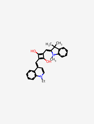 CCN1C=CC(=CC2=C(O)C(C=C3N(C)c4ccccc4C3(C)C)=C2O)c2ccccc21